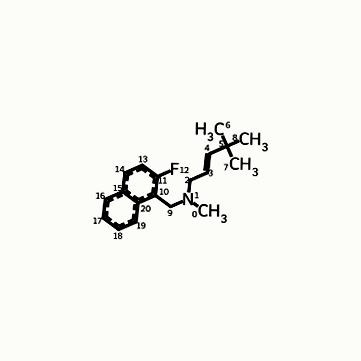 CN(C/C=C/C(C)(C)C)Cc1c(F)ccc2ccccc12